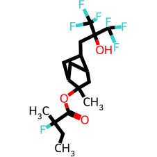 CCC(C)(F)C(=O)OC1(C)CC2CC1CC2CC(O)(C(F)(F)F)C(F)(F)F